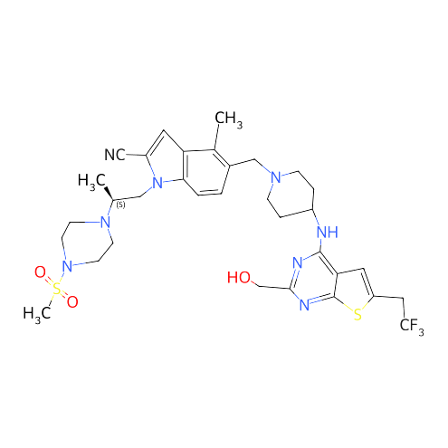 Cc1c(CN2CCC(Nc3nc(CO)nc4sc(CC(F)(F)F)cc34)CC2)ccc2c1cc(C#N)n2C[C@H](C)N1CCN(S(C)(=O)=O)CC1